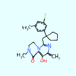 C=C1N=C(CC2(c3cc(C)cc(F)c3)CCCC2)N2CCN(C)C(=O)C2=C1O